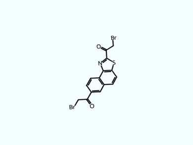 O=C(CBr)c1ccc2c(ccc3sc(C(=O)CBr)nc32)c1